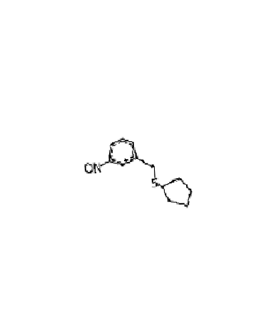 O=Nc1cccc(CSC2CCCC2)c1